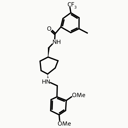 COc1ccc(CN[C@H]2CC[C@H](CNC(=O)c3cc(C)cc(C(F)(F)F)c3)CC2)c(OC)c1